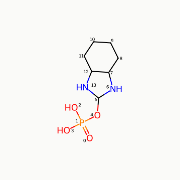 O=P(O)(O)OC1NC2CCCCC2N1